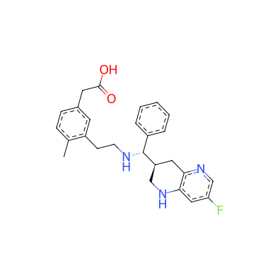 Cc1ccc(CC(=O)O)cc1CCN[C@H](c1ccccc1)[C@@H]1CNc2cc(F)cnc2C1